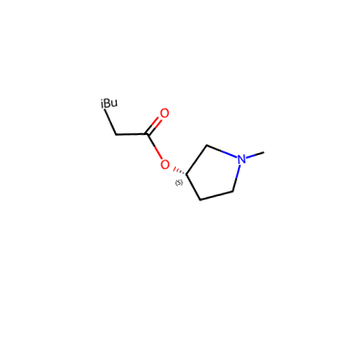 CCC(C)CC(=O)O[C@H]1CCN(C)C1